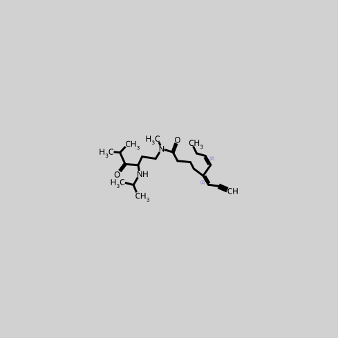 C#C/C=C(\C=C/CC)CCCC(=O)N(C)CCC(NC(C)C)C(=O)C(C)C